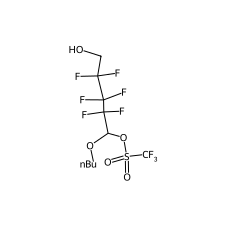 CCCCOC(OS(=O)(=O)C(F)(F)F)C(F)(F)C(F)(F)C(F)(F)CO